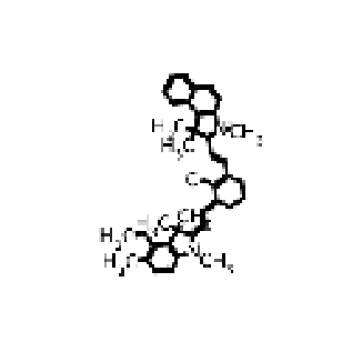 C=Cc1c(C)ccc2c1C(C)(C)/C(=C\C=C1/CCCC(/C=C/C3=[N+](C)c4ccc5ccccc5c4C3(C)C)=C1Cl)N2C